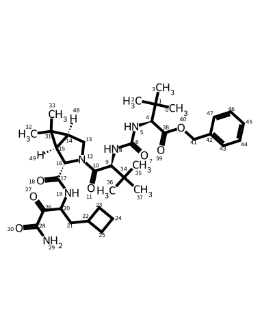 CC(C)(C)[C@H](NC(=O)N[C@H](C(=O)N1C[C@H]2[C@@H]([C@H]1C(=O)NC(CC1CCC1)C(=O)C(N)=O)C2(C)C)C(C)(C)C)C(=O)OCc1ccccc1